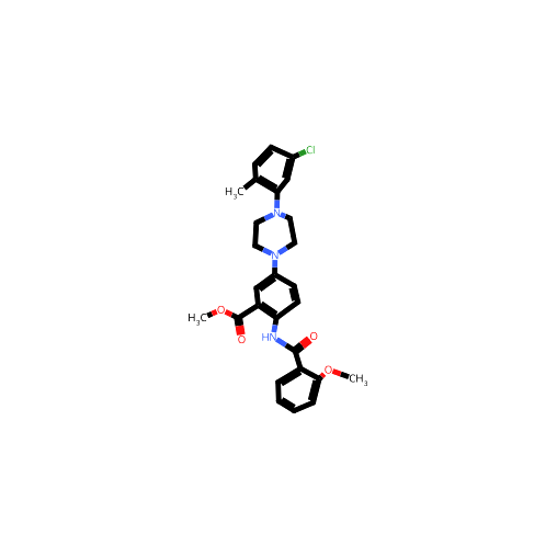 COC(=O)c1cc(N2CCN(c3cc(Cl)ccc3C)CC2)ccc1NC(=O)c1ccccc1OC